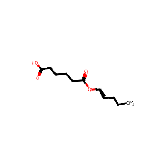 CCCC=COC(=O)CCCCC(=O)O